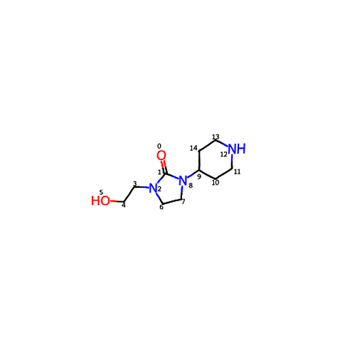 O=C1N(CCO)CCN1C1CCNCC1